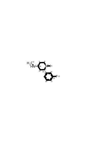 CN[C@@H]1CCN(I)[C@H](c2cccc(F)c2)C1